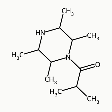 CC(C)C(=O)N1C(C)C(C)NC(C)C1C